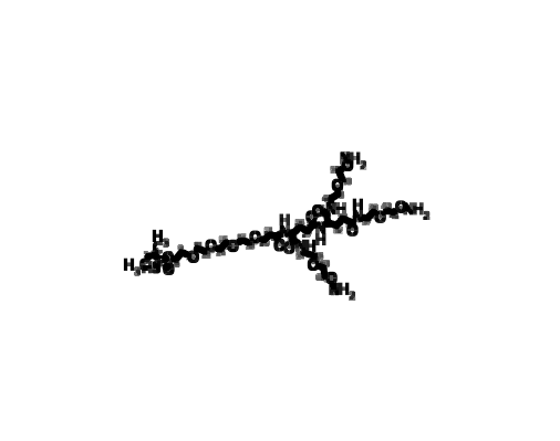 CCC(C)P(=O)(S)OCCOCCOCCOCCOCCC(=O)NC(CCC(=O)NC(CCC(=O)NCCOCCON)C(=O)NCCOCCON)C(=O)NCCOCCON